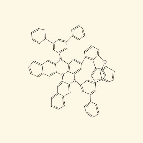 c1ccc(-c2cc(-c3ccccc3)cc(N3c4cc5ccccc5cc4B4c5cc6ccccc6cc5N(c5cc(-c6ccccc6)cc(-c6ccccc6)c5)c5cc(-c6cccc7oc8ccccc8c67)cc3c54)c2)cc1